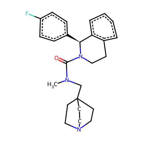 CN(CC12CCN(CC1)CC2)C(=O)N1CCc2ccccc2[C@@H]1c1ccc(F)cc1